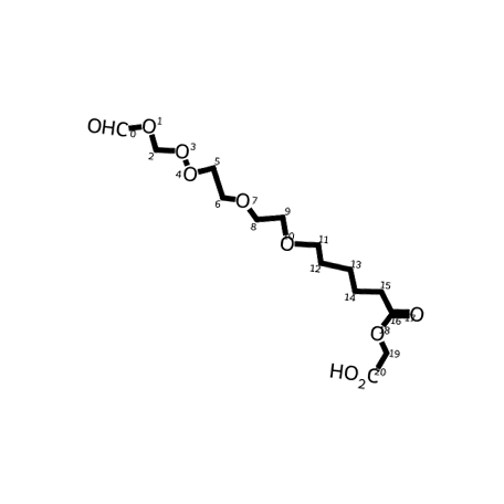 O=COCOOCCOCCOCCCCCC(=O)OCC(=O)O